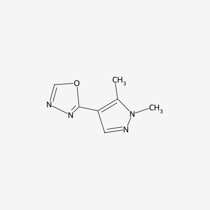 Cc1c(-c2nnco2)cnn1C